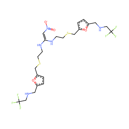 O=[N+]([O-])C=C(NCCSCc1ccc(CNCC(F)(F)F)o1)NCCSCc1ccc(CNCC(F)(F)F)o1